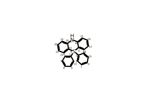 c1ccc(S2(c3ccccc3)c3ccccc3Nc3ccccc32)cc1